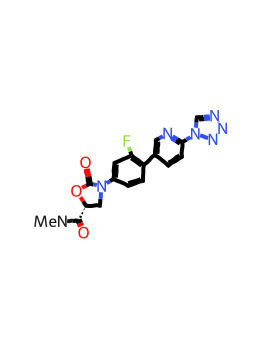 CNC(=O)[C@H]1CN(c2ccc(-c3ccc(-n4cnnn4)nc3)c(F)c2)C(=O)O1